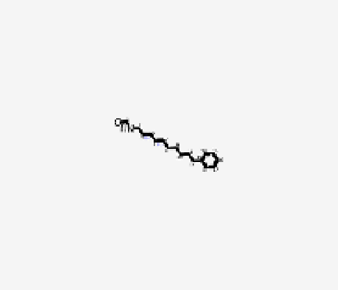 O=CNC/C=C/C=C/CCCCCc1ccccc1